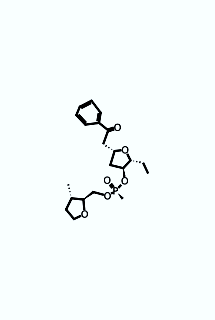 CC[C@H]1O[C@@H](CC(=O)c2ccccc2)C[C@@H]1O[P@@](C)(=O)OC[C@H]1OCC[C@@H]1C